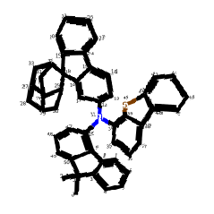 CC1(C)c2ccccc2-c2c(N(c3ccc4c(c3)C3(c5ccccc5-4)C4CC5CC(C4)CC3C5)c3cccc4c3sc3ccccc34)cccc21